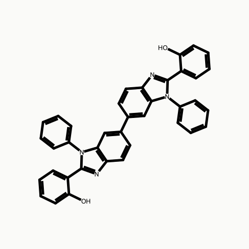 Oc1ccccc1-c1nc2ccc(-c3ccc4nc(-c5ccccc5O)n(-c5ccccc5)c4c3)cc2n1-c1ccccc1